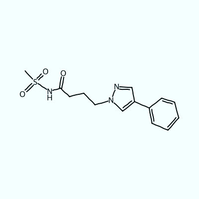 CS(=O)(=O)NC(=O)CCCn1cc(-c2ccccc2)cn1